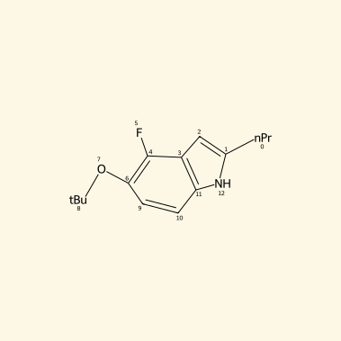 CCCc1cc2c(F)c(OC(C)(C)C)ccc2[nH]1